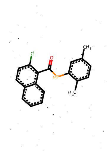 Cc1ccc(C)c(PC(=O)c2c(Cl)ccc3ccccc23)c1